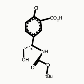 CC(C)(C)OC(=O)N[C@H](CO)c1ccc(Cl)c(C(=O)O)c1